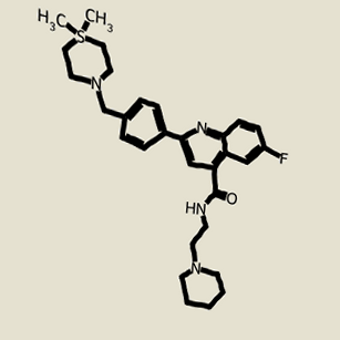 CS1(C)CCN(Cc2ccc(-c3cc(C(=O)NCCN4CCCCC4)c4cc(F)ccc4n3)cc2)CC1